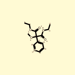 CCOC(=O)C(OC)(C(=O)OCC)c1cccnc1